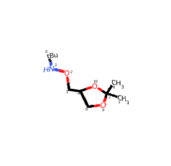 CC(C)(C)NOCC1COC(C)(C)O1